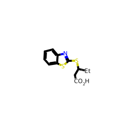 CCC(CC(=O)O)Sc1nc2ccccc2s1